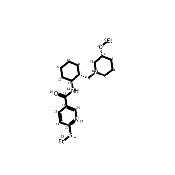 CCO[C@@H]1CCCN(C[C@H]2CCCC[C@@H]2NC(=O)c2ccc(SCC)nc2)C1